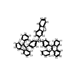 c1ccc(-c2c(-c3ccc(N(c4ccc(-c5c(-c6ccccc6)c6ccccc6c6ccccc56)cc4)c4ccc5c(c4)oc4ccccc45)cc3)c3ccccc3c3ccccc23)cc1